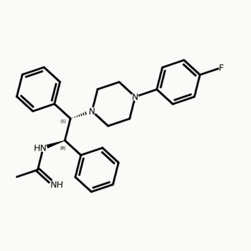 CC(=N)N[C@H](c1ccccc1)[C@H](c1ccccc1)N1CCN(c2ccc(F)cc2)CC1